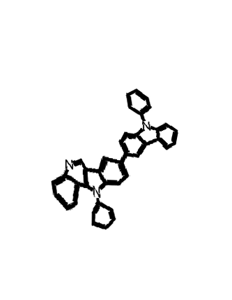 c1ccc(-n2c3ccccc3c3cc(-c4ccc5c(c4)c4cnc6ccccc6c4n5-c4ccccc4)ccc32)cc1